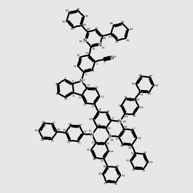 N#Cc1cc(-n2c3ccccc3c3cc(-c4cc5c6c(c4)N(c4ccc(-c7ccccc7)cc4)c4ccc(-c7ccccc7)cc4B6c4cc(-c6ccccc6)ccc4N5c4ccc(-c5ccccc5)cc4)ccc32)ccc1-c1nc(-c2ccccc2)cc(-c2ccccc2)n1